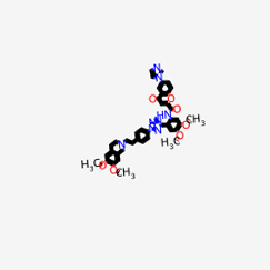 COc1cc2c(cc1OC)CN(CCc1ccc(-n3nnc(-c4cc(OC)c(OC)cc4NC(=O)c4cc(=O)c5cc(-n6ccnc6)ccc5o4)n3)cc1)CC2